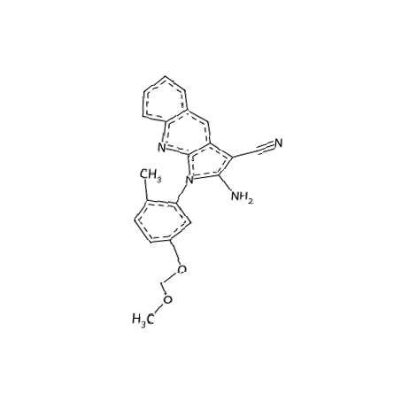 COCOc1ccc(C)c(-n2c(N)c(C#N)c3cc4ccccc4nc32)c1